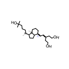 C[C@H](CCCC(C)(C)O)C1CCC2/C(=C/C=C(CCO)CCO)CCC[C@@]21C